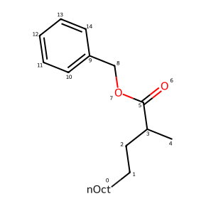 CCCCCCCCCCC(C)C(=O)OCc1ccccc1